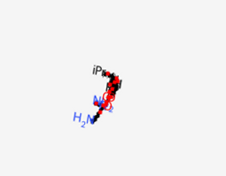 CC(N)CCCCCCCN(CCC(C)N)C(=O)CCC(=O)O[C@H]1CC[C@@]2(C)C(=CC[C@H]3[C@@H]4CC[C@H]([C@H](C)CC[C@@H](C)C(C)C)[C@@]4(C)CC[C@@H]32)C1